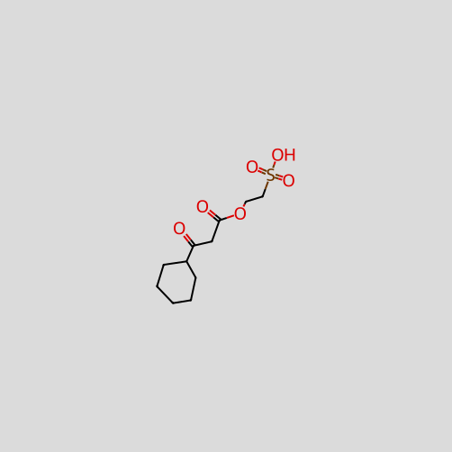 O=C(CC(=O)C1CCCCC1)OCCS(=O)(=O)O